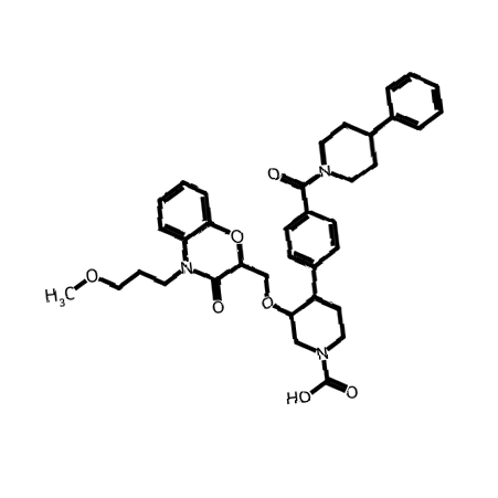 COCCCN1C(=O)C(COC2CN(C(=O)O)CCC2c2ccc(C(=O)N3CCC(c4ccccc4)CC3)cc2)Oc2ccccc21